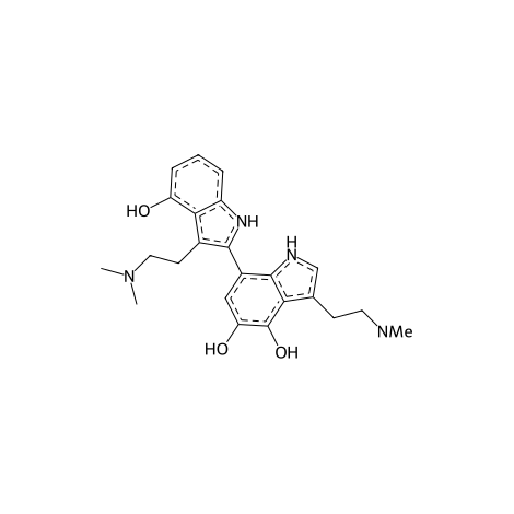 CNCCc1c[nH]c2c(-c3[nH]c4cccc(O)c4c3CCN(C)C)cc(O)c(O)c12